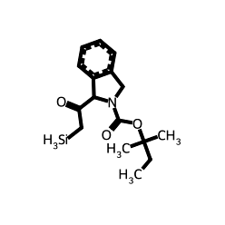 CCC(C)(C)OC(=O)N1Cc2ccccc2C1C(=O)C[SiH3]